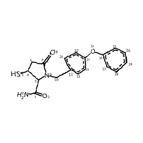 NC(=O)C1C(S)CC(=O)N1Cc1ccc(Oc2ccccc2)cc1